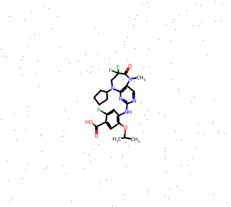 CC(C)Oc1cc(C(=O)O)c(F)cc1Nc1ncc2c(n1)N(C1CCCC1)CC(F)(F)C(=O)N2C